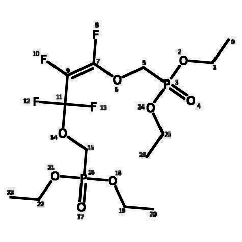 CCOP(=O)(CO/C(F)=C(/F)C(F)(F)OCP(=O)(OCC)OCC)OCC